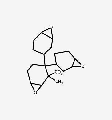 CC1(C(=O)O)C2OC2CCC1(C1CCC2OC2C1)C1CCC2OC2C1